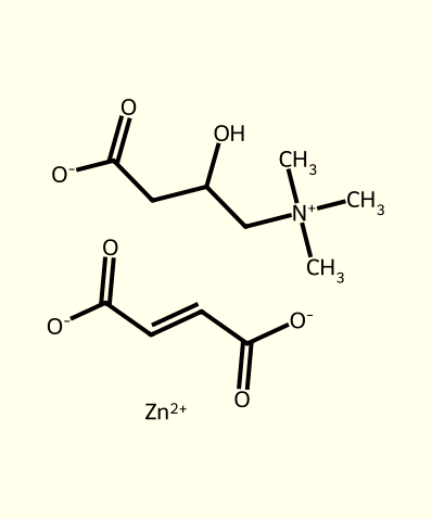 C[N+](C)(C)CC(O)CC(=O)[O-].O=C([O-])C=CC(=O)[O-].[Zn+2]